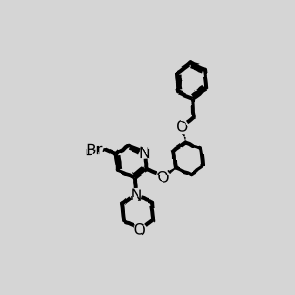 Brc1cnc(O[C@@H]2CCC[C@@H](OCc3ccccc3)C2)c(N2CCOCC2)c1